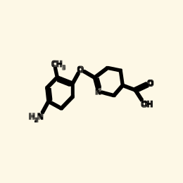 CC1=C(OC2=NCC(C(=O)O)CC2)CCC(N)=C1